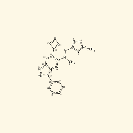 CN(Cc1ncn(C)n1)c1nn2c(-c3ccccc3)nnc2cc1C1=CC=C1